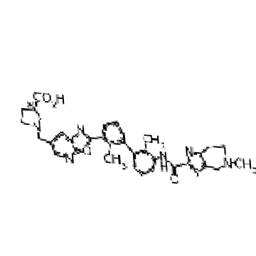 Cc1c(NC(=O)c2nc3c(s2)CN(C)CC3)cccc1-c1cccc(-c2nc3cc(CN4CC[C@@H](C(=O)O)C4)cnc3o2)c1C